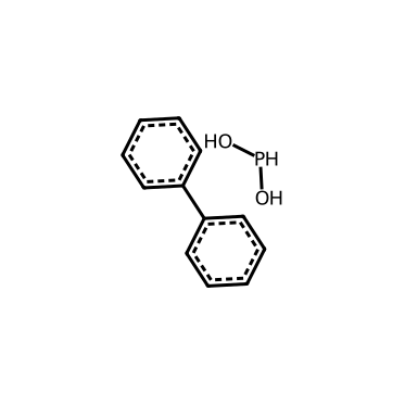 OPO.c1ccc(-c2ccccc2)cc1